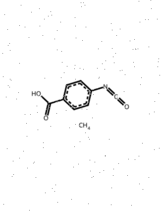 C.O=C=Nc1ccc(C(=O)O)cc1